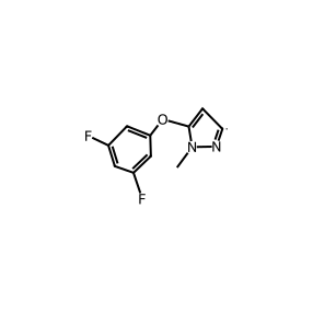 Cn1n[c]cc1Oc1cc(F)cc(F)c1